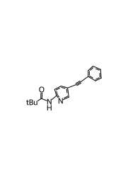 CC(C)(C)C(=O)Nc1ccc(C#Cc2ccccc2)cn1